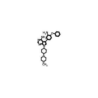 CN1CCN(C2CCC(n3cc(-c4ccc(Oc5ccccc5)c(N)c4)c4c(N)ncnc43)CC2)CC1